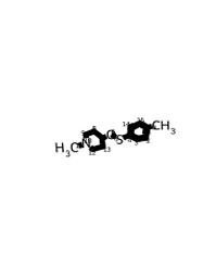 Cc1ccc(SOC2CCN(C)CC2)cc1